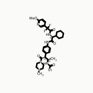 CCC(=O)N[C@H](C)[C@@H](C(=O)N1CCN(C)CC1)c1ccc(NC(=O)[C@@H](NC(=O)C(F)(F)c2ccc(OC)nc2)C2CCCCC2)cc1